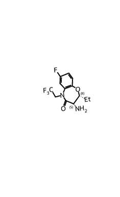 CC[C@H]1Oc2ccc(F)cc2N(CC(F)(F)F)C(=O)[C@H]1N